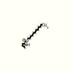 CCCCCCCCCCCCOC(=O)[C@@H]1CCCN1